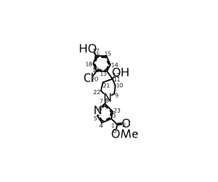 COC(=O)c1ccnc(N2CCC(O)(c3ccc(O)cc3Cl)CC2)c1